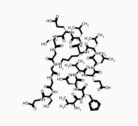 CC(C)C[C@H](NC(=O)[C@H](CCCCN)NC(=O)[C@H](CC(C)C)NC(=O)[C@H](CC(C)C)NC(=O)[C@H](CCC(=O)O)NC(=O)[C@@H](NC(=O)[C@H](CC(=O)O)NC(=O)[C@H](Cc1ccccc1)NC(=O)[C@@H](N)C(C)C)C(C)C)C(=O)N[C@@H](CCC(=O)O)C(=O)N[C@@H](CO)C(=O)NCC(=O)NCC(=O)NCC(=O)N[C@@H](CO)C(=O)NCC(=O)O